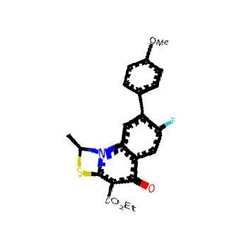 CCOC(=O)c1c2n(c3cc(-c4ccc(OC)cc4)c(F)cc3c1=O)C(C)S2